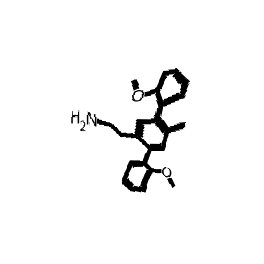 COc1ccccc1-c1cc(CCN)c(-c2ccccc2OC)cc1C